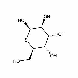 OC[C@H]1S[C@@H](O)[C@@H](O)[C@H](O)[C@@H]1O